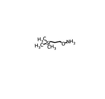 C[Si](C)(C)CCCON